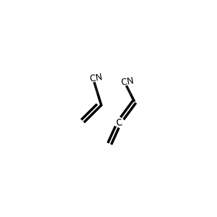 C=C=CC#N.C=CC#N